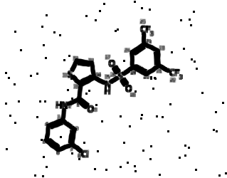 O=C(Nc1cccc(Cl)c1)c1sccc1NS(=O)(=O)c1cc(C(F)(F)F)cc(C(F)(F)F)c1